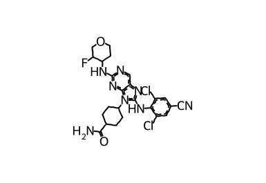 N#Cc1cc(Cl)c(Nc2nc3cnc(NC4CCOCC4F)nc3n2C2CCC(C(N)=O)CC2)c(Cl)c1